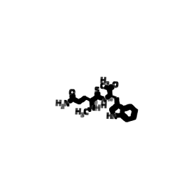 CN[C@@H](CCC(N)=O)C(=S)N[C@@H](Cc1c[nH]c2ccccc12)C(C)=O